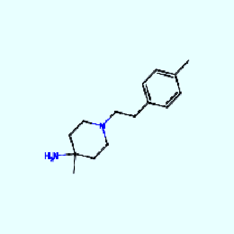 Cc1ccc(CCN2CCC(C)(N)CC2)cc1